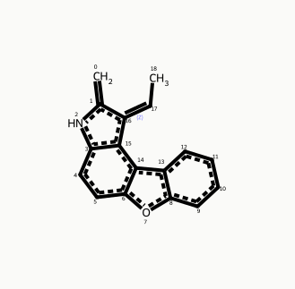 C=c1[nH]c2ccc3oc4ccccc4c3c2/c1=C/C